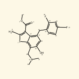 COC(=O)c1c(N)sc2c(CN(C)C)c(O)cc(Cc3ccc(F)cc3F)c12